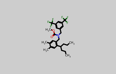 CCCC(CCC)c1cc(C)c(C)cc1CN(Cc1cc(C(F)(F)F)cc(C(F)(F)F)c1)C(=O)OC